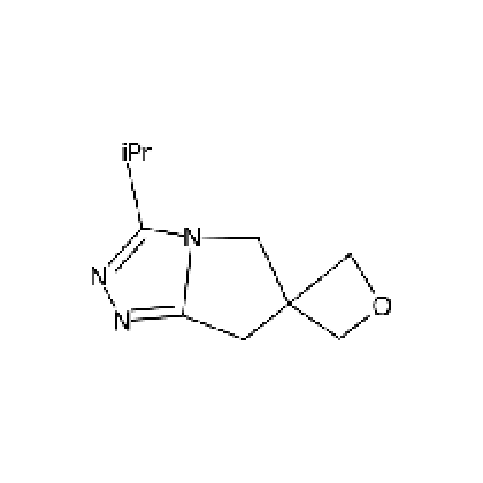 CC(C)c1nnc2n1CC1(COC1)C2